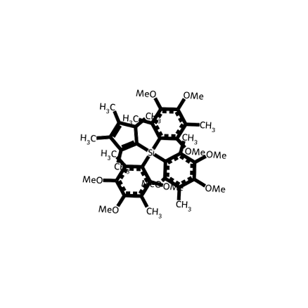 COc1c(C)c(OC)c([Si](C2=C(C)C(C)=C(C)C2C)(c2c(C)c(OC)c(OC)c(C)c2OC)c2c(C)c(OC)c(OC)c(C)c2OC)c(C)c1OC